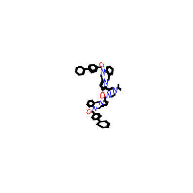 CC(C)N1CCN(C(=O)c2ccc3n2Cc2ccccc2N(C(=O)c2ccc(C4CCCCC4)cc2)C3)C(c2ccc3n2Cc2ccccc2N(C(=O)c2ccc(C4CCCCC4)cc2)C3)C1